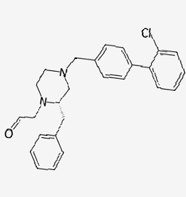 O=CCN1CCN(Cc2ccc(-c3ccccc3Cl)cc2)C[C@@H]1Cc1ccccc1